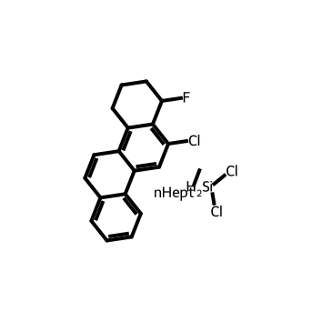 CCCCCCCC.Cl[SiH2]Cl.FC1CCCc2c1c(Cl)cc1c2ccc2ccccc21